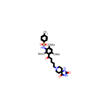 COc1cc(OC)c(C(=O)CCCCN2CCC3(CC2)NC(=O)NC3=O)c(OC)c1NS(=O)(=O)c1ccc(C(F)(F)F)cc1